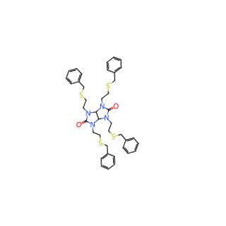 O=C1N(CCSCc2ccccc2)C2C(N1CCSCc1ccccc1)N(CCSCc1ccccc1)C(=O)N2CCSCc1ccccc1